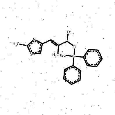 CC[C@@H](O[Si](c1ccccc1)(c1ccccc1)C(C)(C)C)/C(C)=C/c1csc(C)n1